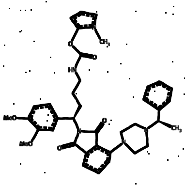 COc1ccc([C@@H](CCCNC(=O)Oc2cccn2C)N2C(=O)c3cccc(N4CCN([C@H](C)c5ccccc5)CC4)c3C2=O)cc1OC